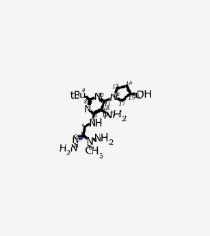 CN(N)/C(CNc1nc(C(C)(C)C)nc(N2CCC(O)C2)c1N)=N\N